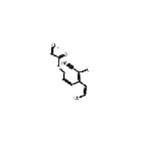 C#C/C(C)=C(/C=C\C)\C=C/COC(=O)C=C